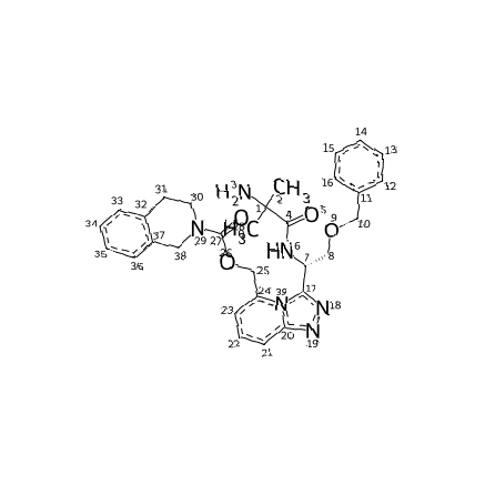 CC(C)(N)C(=O)N[C@H](COCc1ccccc1)c1nnc2cccc(COC(=O)N3CCc4ccccc4C3)n12